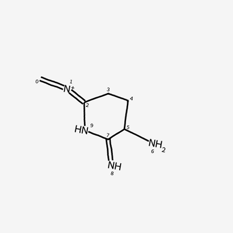 C=[N+]=C1CCC(N)C(=N)N1